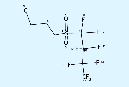 O=S(=O)(CCCCl)C(F)(F)C(F)(F)C(F)(F)C(F)(F)F